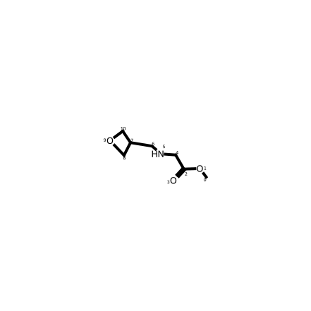 COC(=O)CNCC1COC1